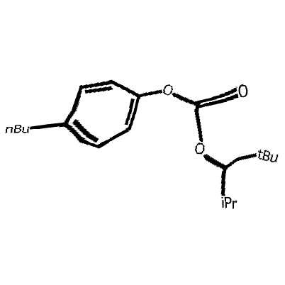 CCCCc1ccc(OC(=O)OC(C(C)C)C(C)(C)C)cc1